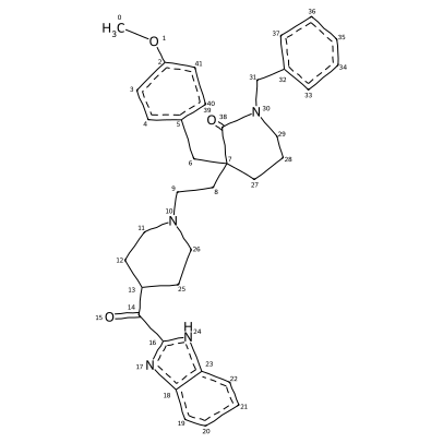 COc1ccc(CC2(CCN3CCC(C(=O)c4nc5ccccc5[nH]4)CC3)CCCN(Cc3ccccc3)C2=O)cc1